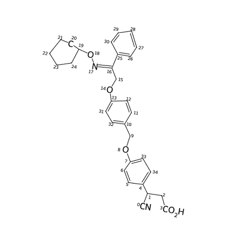 N#CC(CC(=O)O)c1ccc(OCc2ccc(OCC(=NOC3CCCCC3)c3ccccc3)cc2)cc1